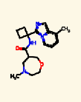 Cc1cccn2c(C3(NC(=O)C4COCCN(C)C4)CCC3)ncc12